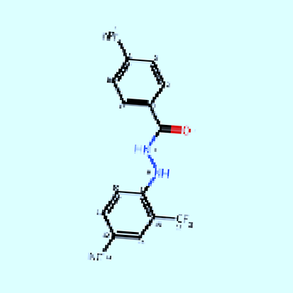 CCCc1ccc(C(=O)NNc2ccc(C#N)cc2C(F)(F)F)cc1